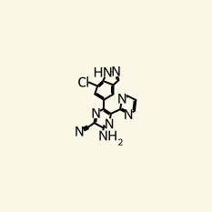 N#Cc1nc(-c2cc(Cl)c3[nH]ncc3c2)c(-c2ncccn2)nc1N